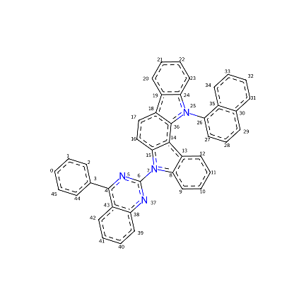 c1ccc(-c2nc(-n3c4ccccc4c4c3ccc3c5ccccc5n(-c5cccc6ccccc56)c34)nc3ccccc23)cc1